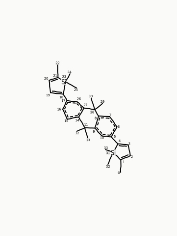 CC1=CC=C(c2ccc3c(c2)C(C)(C)c2ccc(C4=CC=C(C)[Si]4(C)C)cc2C3(C)C)[Si]1(C)C